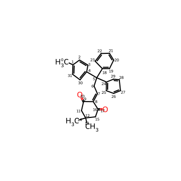 Cc1ccc(C(CC=C2C(=O)CC(C)(C)CC2=O)(c2ccccc2)c2ccccc2)cc1